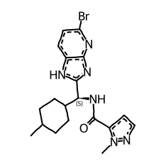 CC1CCC([C@H](NC(=O)c2ccnn2C)c2nc3nc(Br)ccc3[nH]2)CC1